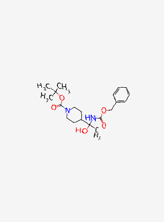 CC(C)(C)OC(=O)N1CCC(C(C)(O)NC(=O)OCc2ccccc2)CC1